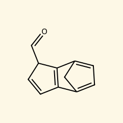 O=CC1C=CC2=C1C1=CC=C2C1